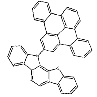 c1ccc2c(c1)sc1c2ccc2c3ccccc3n(-c3cc4c5ccccc5c5cccc6c7ccccc7c(c3)c4c56)c21